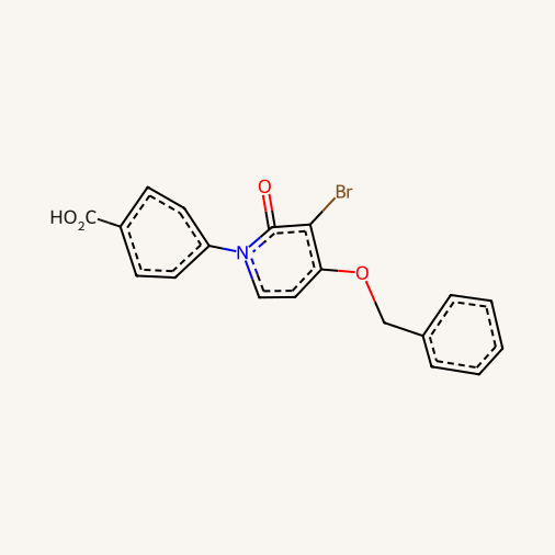 O=C(O)c1ccc(-n2ccc(OCc3ccccc3)c(Br)c2=O)cc1